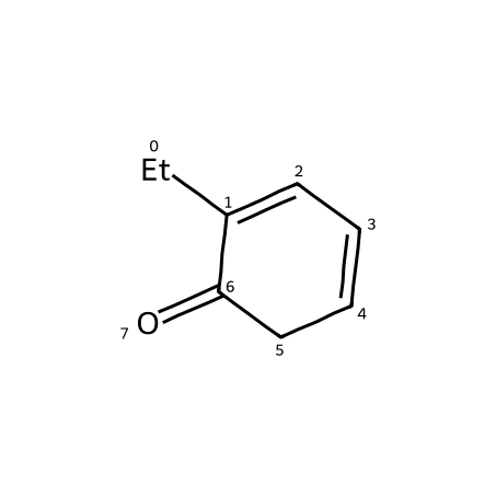 [CH2]CC1=CC=CCC1=O